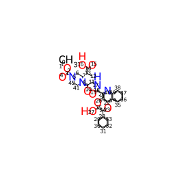 CCOC(=O)N1CCN(C(=O)[C@H](CCC(=O)O)NC(=O)c2cc(OC(C(=O)O)c3ccccc3)c3ccccc3n2)CC1